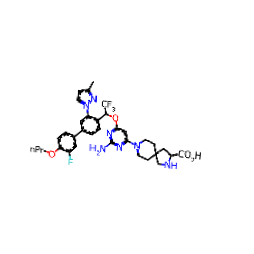 CCCOc1ccc(-c2ccc(C(Oc3cc(N4CCC5(CC4)CNC(C(=O)O)C5)nc(N)n3)C(F)(F)F)c(-n3ccc(C)n3)c2)cc1F